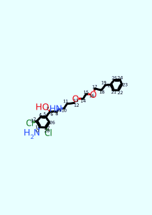 Nc1c(Cl)cc(C(O)CNCCCOCCOCCCc2ccccc2)cc1Cl